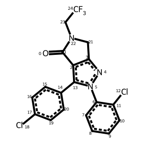 O=C1c2c(nn(-c3ccccc3Cl)c2-c2ccc(Cl)cc2)CN1CC(F)(F)F